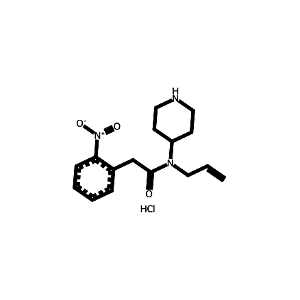 C=CCN(C(=O)Cc1ccccc1[N+](=O)[O-])C1CCNCC1.Cl